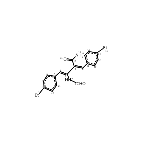 CCc1ccc(/C=C(NC=O)/C(=C/c2ccc(CC)cc2)C(N)=O)cc1